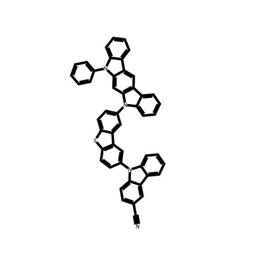 N#Cc1ccc2c(c1)c1ccccc1n2-c1ccc2sc3ccc(-n4c5ccccc5c5cc6c7ccccc7n(-c7ccccc7)c6cc54)cc3c2c1